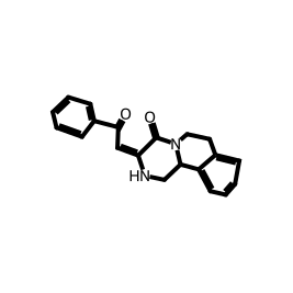 O=C(C=C1NCC2c3ccccc3CCN2C1=O)c1ccccc1